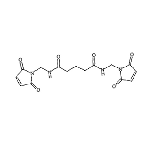 O=C(CCCC(=O)NCN1C(=O)C=CC1=O)NCN1C(=O)C=CC1=O